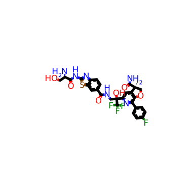 C[C@]1(C(N)=O)COc2c1cc(C(O)(CNC(=O)c1ccc3nc(NC(=O)[C@H](N)CO)sc3c1)C(F)(F)F)nc2-c1ccc(F)cc1